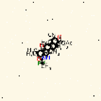 CC(=O)OC[C@]1(C)C(=O)C(C#N)=C[C@]2(C)C3=CC(=O)[C@@H]4[C@@H]5CC(C)(C)CC[C@]5(NC(=O)C(C)(F)F)CC[C@@]4(C)[C@]3(C)CC[C@H]21